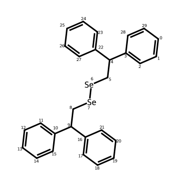 c1ccc(C(C[Se][Se]CC(c2ccccc2)c2ccccc2)c2ccccc2)cc1